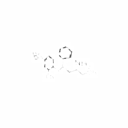 N#Cc1cc(Br)ccc1S[C@H](C[C@H](N)CO)c1ccccc1